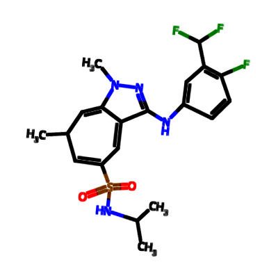 CC1C=C(S(=O)(=O)NC(C)C)C=c2c(Nc3ccc(F)c(C(F)F)c3)nn(C)c2=C1